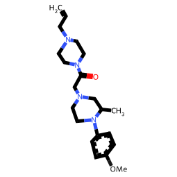 C=CCN1CCN(C(=O)CN2CCN(c3ccc(OC)cc3)C(C)C2)CC1